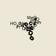 COC(=O)N[C@H](C(=O)N1CCC[C@H]1c1ncc(C2(c3cnc([C@@H]4CCCN4C(=O)[C@@H](NC(=O)O)C(C)C)[nH]3)C=CC(c3ccccc3)=CC2)[nH]1)C(C)C